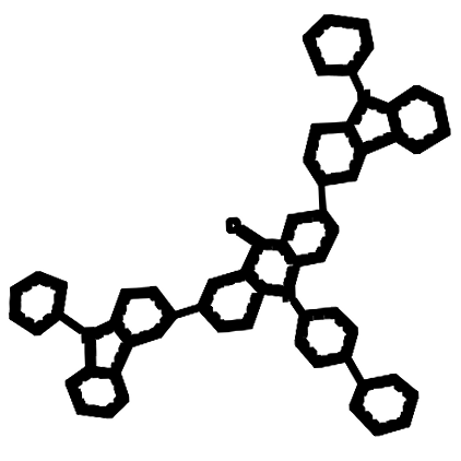 O=c1c2cc(-c3ccc4c(c3)c3ccccc3n4-c3ccccc3)ccc2n(-c2ccc(-c3ccccc3)cc2)c2ccc(-c3ccc4c(c3)c3ccccc3n4-c3ccccc3)cc12